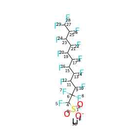 O=S(=O)([O-])C(F)C(F)(F)C(F)C(F)C(F)C(F)C(F)C(F)C(F)C(F)C(F)C(F)F.[Li+]